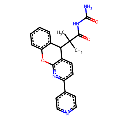 CC(C)(C(=O)NC(N)=O)C1c2ccccc2Oc2nc(-c3ccncc3)ccc21